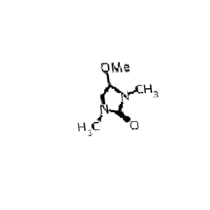 COC1CN(C)C(=O)N1C